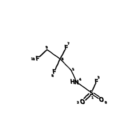 O=S(=O)(F)NCC(F)(F)CF